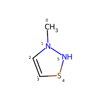 CN1C=[C]SN1